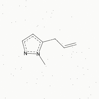 C=CCc1ccnn1C